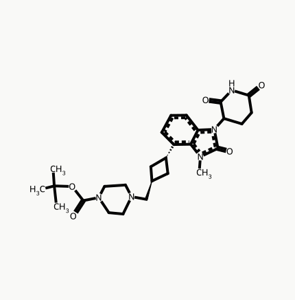 Cn1c(=O)n(C2CCC(=O)NC2=O)c2cccc([C@H]3C[C@H](CN4CCN(C(=O)OC(C)(C)C)CC4)C3)c21